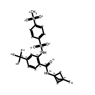 CS(=O)(=O)c1ccc(S(=O)(=O)Nc2cc(C(F)(F)F)ccc2C(=O)NC23CC(F)(C2)C3)cc1